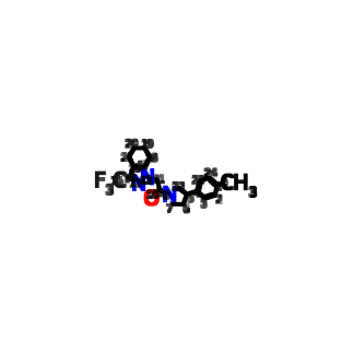 Cc1ccc(C2CCN(C(=O)Cn3nc(C(F)(F)F)c4c3CCCC4)C2)cc1